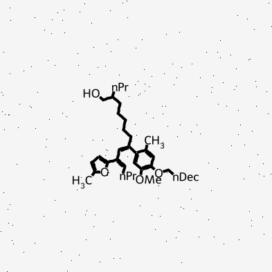 CCC/C=C(/C=C(/CCCCCC(CO)CCC)c1cc(OC)c(OCCCCCCCCCCC)cc1C)c1ccc(C)o1